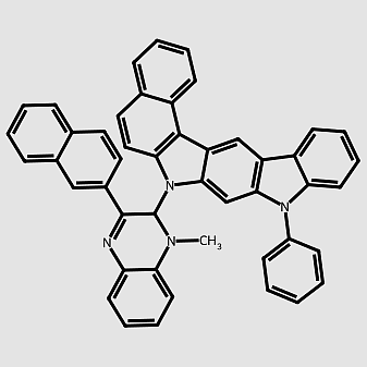 CN1c2ccccc2N=C(c2ccc3ccccc3c2)C1n1c2cc3c(cc2c2c4ccccc4ccc21)c1ccccc1n3-c1ccccc1